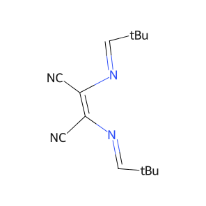 CC(C)(C)/C=N/C(C#N)=C(C#N)\N=C\C(C)(C)C